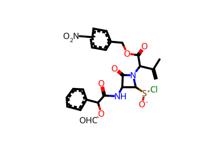 C=C(C)C(C(=O)OCc1ccc([N+](=O)[O-])cc1)N1C(=O)C(NC(=O)C(OC=O)c2ccccc2)C1[S+]([O-])Cl